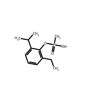 CCc1cccc(C(C)C)c1OP(C)(=O)O